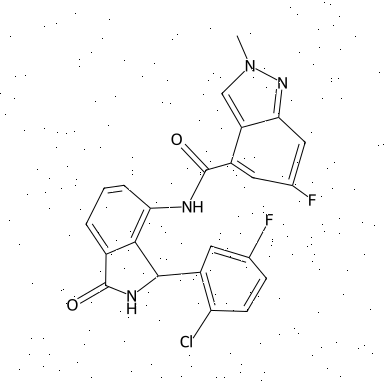 Cn1cc2c(C(=O)Nc3cccc4c3C(c3cc(F)ccc3Cl)NC4=O)cc(F)cc2n1